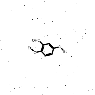 CCOc1ccc(OCC)c(C=O)c1